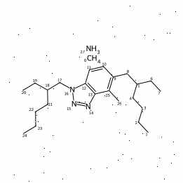 C.CCCCC(CC)Cc1ccc2c(nnn2CC(CC)CCCC)c1C.N